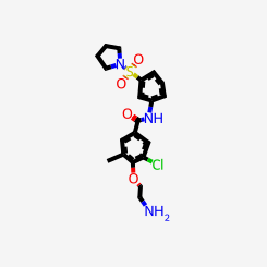 Cc1cc(C(=O)Nc2cccc(S(=O)(=O)N3CCCC3)c2)cc(Cl)c1OCCN